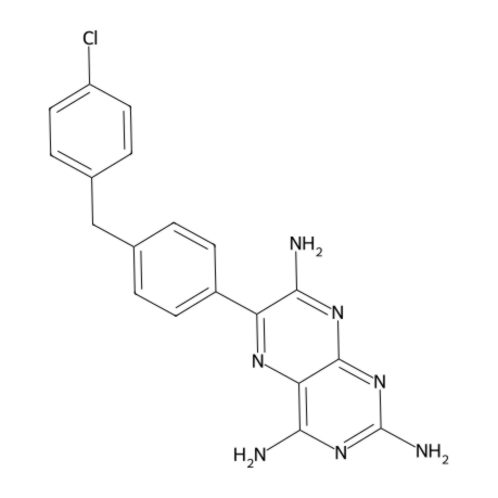 Nc1nc(N)c2nc(-c3ccc(Cc4ccc(Cl)cc4)cc3)c(N)nc2n1